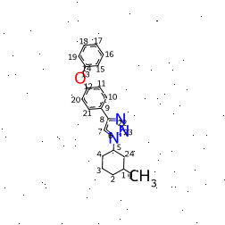 CC1CCCC(n2cc(-c3ccc(Oc4ccccc4)cc3)nn2)C1